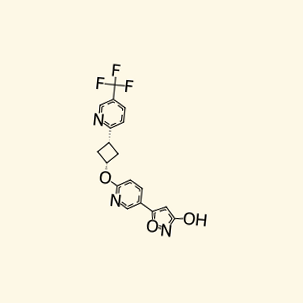 Oc1cc(-c2ccc(O[C@H]3C[C@@H](c4ccc(C(F)(F)F)cn4)C3)nc2)on1